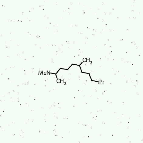 CNC(C)CCCC(C)CCCC(C)C